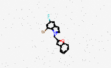 Fc1cc(Br)c2c(ccn2Cc2cc3ccccc3o2)c1